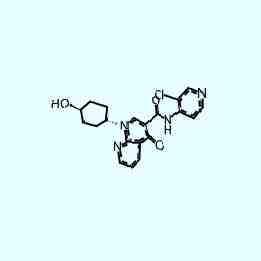 O=C(Nc1ccncc1Cl)c1cn([C@H]2CC[C@H](O)CC2)c2ncccc2c1=O